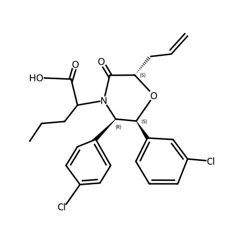 C=CC[C@@H]1O[C@@H](c2cccc(Cl)c2)[C@@H](c2ccc(Cl)cc2)N(C(CCC)C(=O)O)C1=O